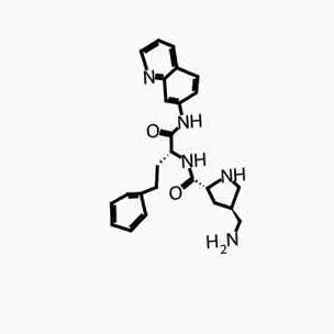 NC[C@@H]1CN[C@@H](C(=O)N[C@H](CCc2ccccc2)C(=O)Nc2ccc3cccnc3c2)C1